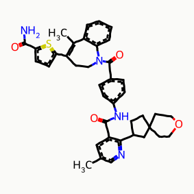 CC1=C(c2ccc(C(N)=O)s2)CCN(C(=O)c2ccc(NC(=O)c3cc(C)cnc3C3CCC4(CCOCC4)C3)cc2)c2ccccc21